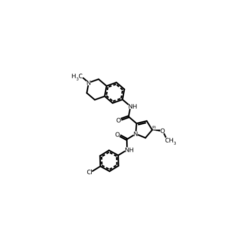 CO[C@@H]1C=C(C(=O)Nc2ccc3c(c2)CCN(C)C3)N(C(=O)Nc2ccc(Cl)cc2)C1